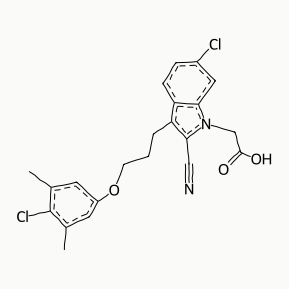 Cc1cc(OCCCc2c(C#N)n(CC(=O)O)c3cc(Cl)ccc23)cc(C)c1Cl